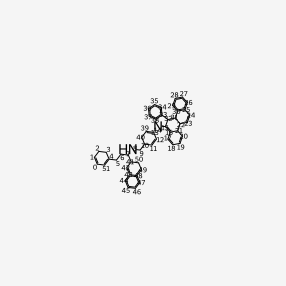 C1=CCCC(CCC(NCC2C=CC(N3C4=C5C=CC=CC5C5C=Cc6ccccc6C5C4c4ccccc43)=CC2)C2C=c3ccccc3=CC2)=C1